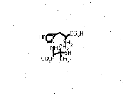 CC(C)(S)C(N)C(=O)O.NC(Cc1c[nH]cn1)C(=O)O